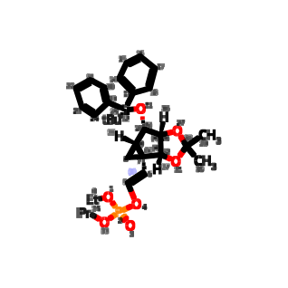 CCOP(=O)(O/C=C/[C@]12C[C@@H]1[C@H](O[Si](c1ccccc1)(c1ccccc1)C(C)(C)C)[C@@H]1OC(C)(C)O[C@@H]12)OC(C)C